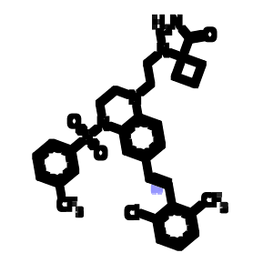 CN(CCN1CCN(S(=O)(=O)c2cccc(C(F)(F)F)c2)c2cc(/C=C/c3c(Cl)cccc3C(F)(F)F)ccc21)C1(C(N)=O)CCC1